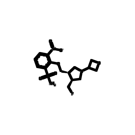 NS(=O)(=O)c1cccc([N+](=O)[O-])c1OC[C@@H]1CN(C2COC2)C[C@H]1CF